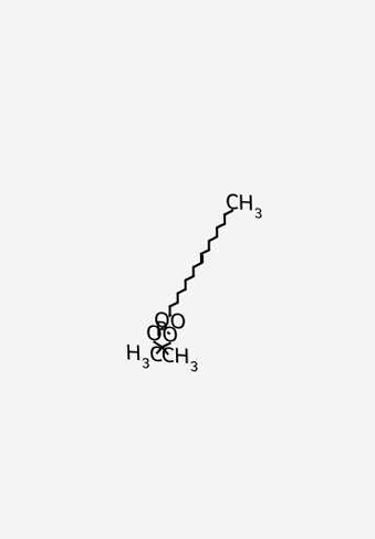 CCCCCCCCC=CCCCCCCCC(=O)OP1OCC(C)(C)CO1